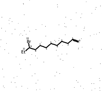 C=CCCCCCCCC(Br)CC